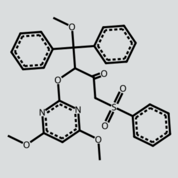 COc1cc(OC)nc(OC(C(=O)CS(=O)(=O)c2ccccc2)C(OC)(c2ccccc2)c2ccccc2)n1